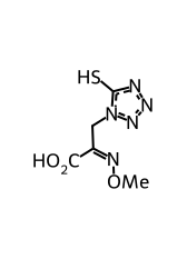 CON=C(Cn1nnnc1S)C(=O)O